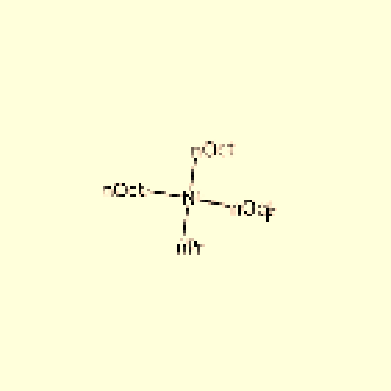 CCCCCCCC[N+](CCC)(CCCCCCCC)CCCCCCCC.[I-]